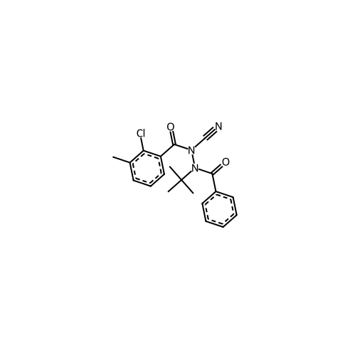 Cc1cccc(C(=O)N(C#N)N(C(=O)c2ccccc2)C(C)(C)C)c1Cl